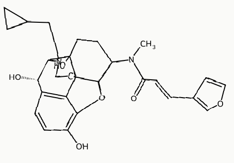 CN(C(=O)/C=C/c1ccoc1)C1CCC2(O)C3[C@@H](O)c4ccc(O)c5c4C2(CCN3CC2CC2)C1O5